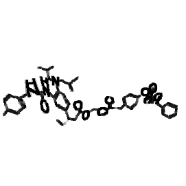 CC[C@@H](CC(=O)OCOC(=O)Cc1ccc(OP(=O)(O)OCc2ccccc2)cc1)c1ccc(N(CC(C)C)CC(C)C)c(NC(=O)Nc2ccc(C)cc2)c1